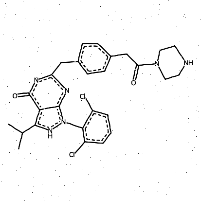 CC(C)c1[nH]n(-c2c(Cl)cccc2Cl)c2nc(Cc3ccc(CC(=O)N4CCNCC4)cc3)nc(=O)c1-2